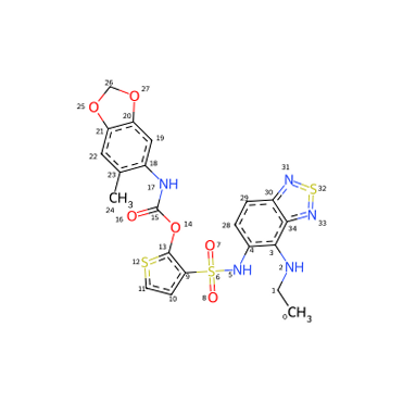 CCNc1c(NS(=O)(=O)c2ccsc2OC(=O)Nc2cc3c(cc2C)OCO3)ccc2nsnc12